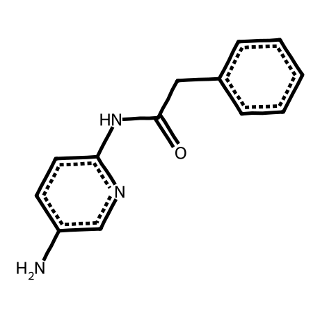 Nc1ccc(NC(=O)Cc2ccccc2)nc1